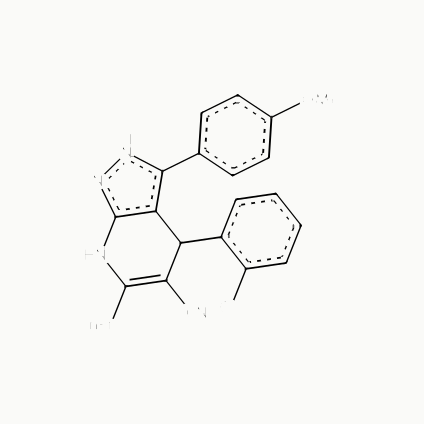 CCCC1=C(C#N)C(c2ccccc2Cl)c2c(n[nH]c2-c2ccc(OC)cc2)N1